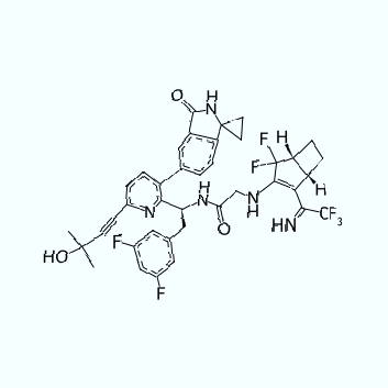 CC(C)(O)C#Cc1ccc(-c2ccc3c(c2)C(=O)NC32CC2)c([C@H](Cc2cc(F)cc(F)c2)NC(=O)CNC2=C(C(=N)C(F)(F)F)[C@H]3CC[C@H]3C2(F)F)n1